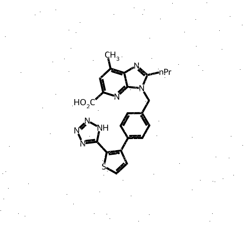 CCCc1nc2c(C)cc(C(=O)O)nc2n1Cc1ccc(-c2ccsc2-c2nnn[nH]2)cc1